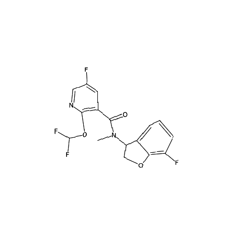 CN(C(=O)c1cc(F)cnc1OC(F)F)C1COc2c(F)cccc21